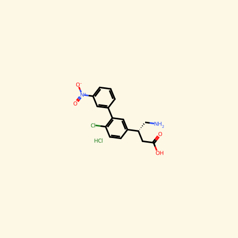 Cl.NC[C@H](CC(=O)O)c1ccc(Cl)c(-c2cccc([N+](=O)[O-])c2)c1